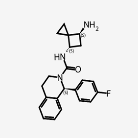 N[C@H]1C[C@H](NC(=O)N2CCc3ccccc3[C@@H]2c2ccc(F)cc2)C12CC2